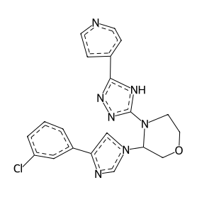 Clc1cccc(-c2cn(C3COCCN3c3nnc(-c4ccncc4)[nH]3)cn2)c1